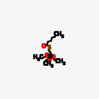 CCCCCC(=O)SCC[Si](OCC)(OCC)OCC